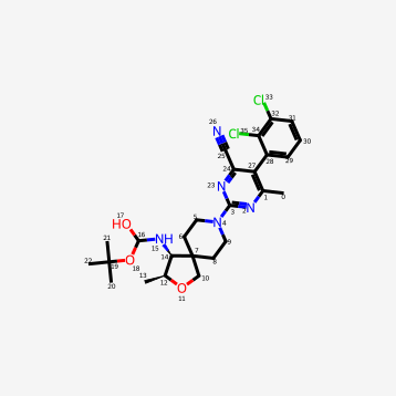 Cc1nc(N2CCC3(CC2)CO[C@@H](C)[C@H]3NC(O)OC(C)(C)C)nc(C#N)c1-c1cccc(Cl)c1Cl